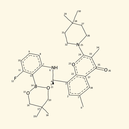 Cc1cc([C@@H](C)Nc2cccc(F)c2B2OCC(C)(C)CO2)c2oc(N3CCC(C)(C)CC3)c(C)c(=O)c2c1